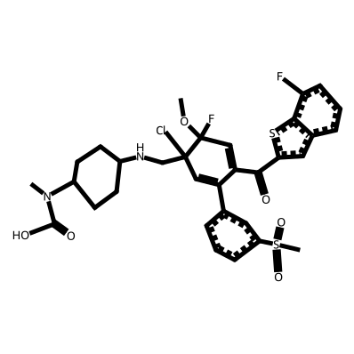 COC1(F)C=C(C(=O)c2cc3cccc(F)c3s2)C(c2cccc(S(C)(=O)=O)c2)=CC1(Cl)CNC1CCC(N(C)C(=O)O)CC1